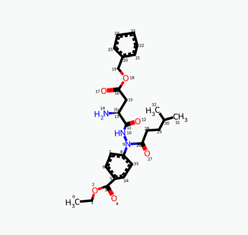 CCOC(=O)c1ccc(N(NC(=O)[C@@H](N)CC(=O)OCc2ccccc2)C(=O)CCC(C)C)cc1